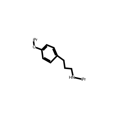 CC(C)NCCCc1ccc(OC(C)C)cc1